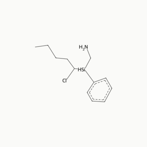 CCCCC(Cl)[SiH](CN)c1ccccc1